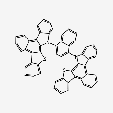 c1ccc2c(c1)sc1c2c2ccccc2c2c3ccccc3n(-c3ccc(-n4c5ccccc5c5c6ccccc6c6c7ccccc7sc6c54)c4ccccc34)c12